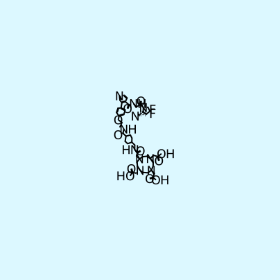 N#C[C@@H]1CC(F)(F)CN1C(=O)CNC(=O)c1ccncc1-c1ccc(OCCNC(=O)C2CCC(CNC(=O)CN3CCN(CC(=O)O)CCN(CC(=O)O)CCN(CC(=O)O)CC3)CC2)cc1